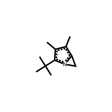 Cc1c(C)c(C(C)(C)C)n2c1C2